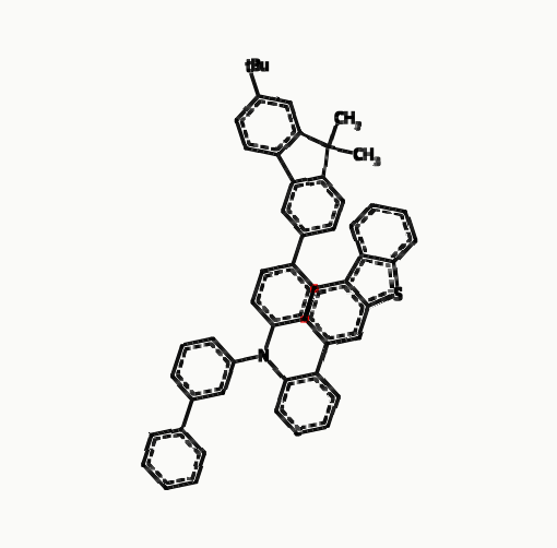 CC(C)(C)c1ccc2c(c1)C(C)(C)c1ccc(-c3ccc(N(c4cccc(-c5ccccc5)c4)c4ccccc4-c4ccc5c(c4)sc4ccccc45)cc3)cc1-2